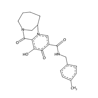 Cc1ccc(CNC(=O)c2cn3c(c(O)c2=O)C(=O)N2CCCCC3C2)cc1